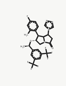 Cc1cc(F)ccc1C1C2C(n3cnnc3)CC(=O)N2C[C@@H]1O[C@H](C)c1cc(C(F)(F)F)cc(C(F)(F)F)c1